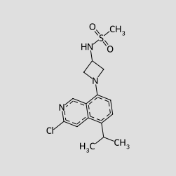 CC(C)c1ccc(N2CC(NS(C)(=O)=O)C2)c2cnc(Cl)cc12